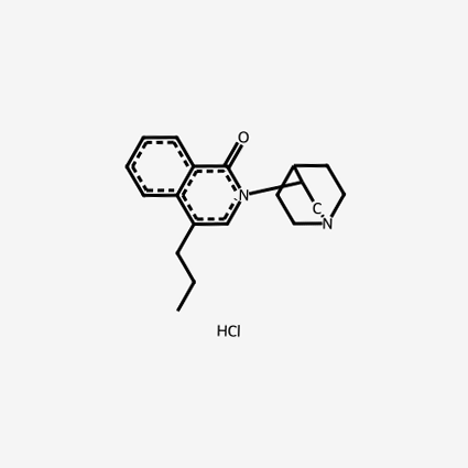 CCCc1cn(C2CN3CCC2CC3)c(=O)c2ccccc12.Cl